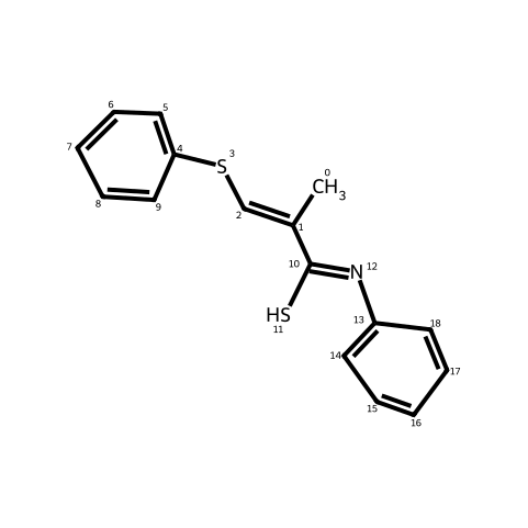 CC(=C\Sc1ccccc1)/C(S)=N/c1ccccc1